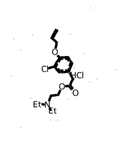 C=CCOc1ccc(CC(=O)OCCN(CC)CC)cc1Cl.Cl